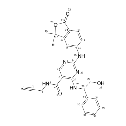 C#CCNC(=O)c1cnc(Nc2ccc3c(c2)C(C)(C)OC3=O)nc1N[C@H](CO)c1ccccc1